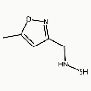 Cc1cc(CNS)no1